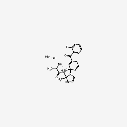 Br.Br.C[C@H](N)C(=O)C(N)C1(C)NC=CN1C1(Cl)C=CCC(C(=O)c2ccccc2F)=C1